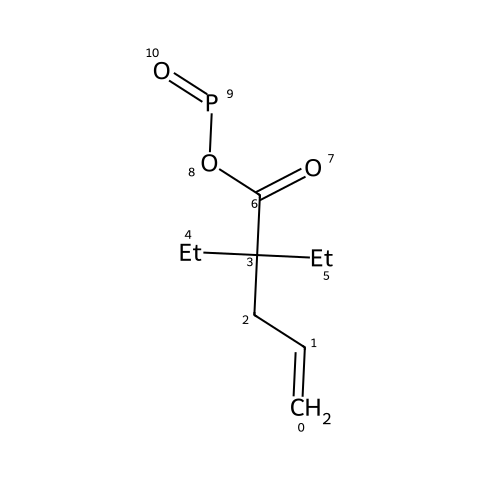 C=CCC(CC)(CC)C(=O)OP=O